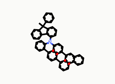 CC1(c2ccccc2)c2ccccc2-c2c(N(c3ccc(-c4ccc5ccccc5c4)cc3)c3ccccc3-c3ccc(-c4ccccc4)cc3)cccc21